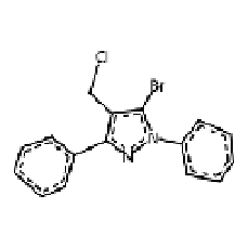 ClCc1c(-c2ccccc2)nn(-c2ccccc2)c1Br